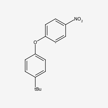 CC(C)(C)c1ccc(Oc2[c]cc([N+](=O)[O-])cc2)cc1